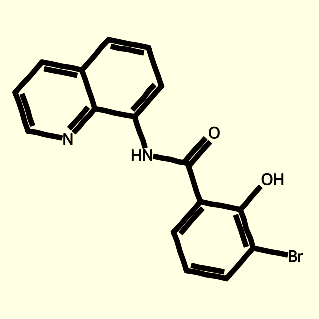 O=C(Nc1cccc2cccnc12)c1cccc(Br)c1O